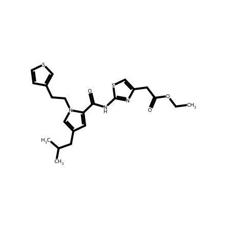 CCOC(=O)Cc1csc(NC(=O)c2cc(CC(C)C)cn2CCc2ccsc2)n1